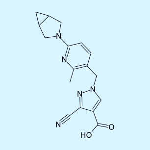 Cc1nc(N2CC3CC3C2)ccc1Cn1cc(C(=O)O)c(C#N)n1